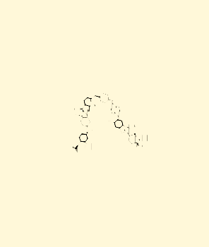 C=C[C@]1(N2Cc3nc(C=C4CCC(CN5CCN(c6cc7c(cc6F)CN(C6CCC(=O)NC6=O)C7=O)CC5)CC4)ccc3C2=O)CC[C@H](Oc2ccc(C#N)c(Cl)c2)CC1